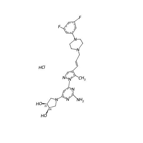 Cc1c(C=CCN2CCN(c3cc(F)cc(F)c3)CC2)cnn1-c1cc(N2C[C@@H](O)[C@@H](O)C2)nc(N)n1.Cl